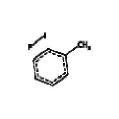 Cc1ccccc1.FI